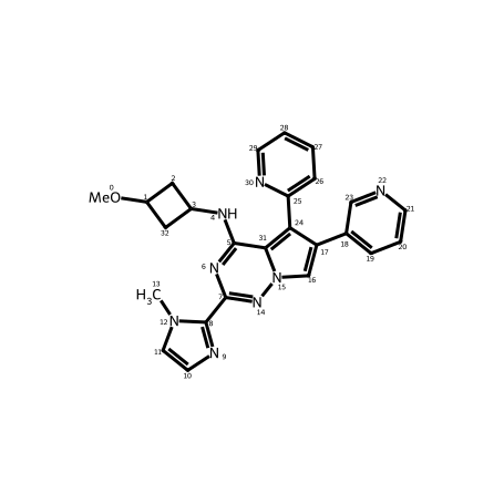 COC1CC(Nc2nc(-c3nccn3C)nn3cc(-c4cccnc4)c(-c4ccccn4)c23)C1